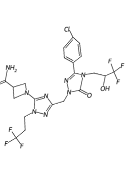 NC(=O)C1CN(c2nc(Cn3nc(-c4ccc(Cl)cc4)n(CC(O)C(F)(F)F)c3=O)nn2CCC(F)(F)F)C1